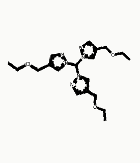 CCOCc1cnn(C(n2cc(COCC)cn2)n2cc(COCC)cn2)c1